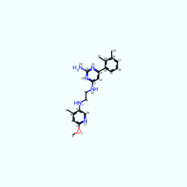 COc1cc(C)c(NCCNc2cc(-c3cccc(C)c3C)nc(N)n2)cn1